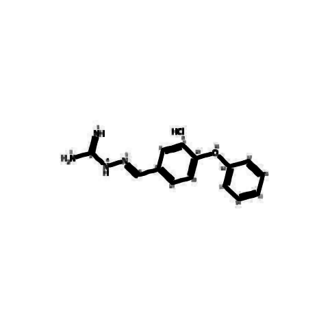 Cl.N=C(N)NN=Cc1ccc(Oc2ccccc2)cc1